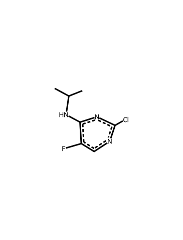 CC(C)Nc1nc(Cl)ncc1F